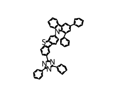 c1ccc(-c2cc(-c3ccccc3)c3c(c2)c2ccccc2n3-c2ccc3c(c2)sc2ccc(-c4nc(-c5ccccc5)nc(-c5ccccc5)n4)cc23)cc1